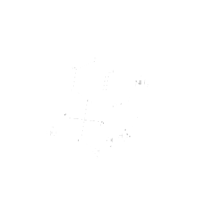 NCCN.O=C(O)C(CO)(CO)c1ccccc1